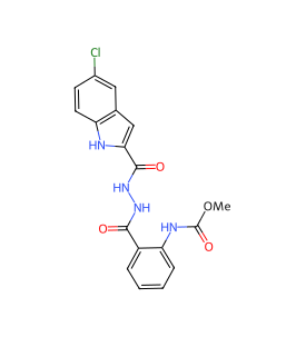 COC(=O)Nc1ccccc1C(=O)NNC(=O)c1cc2cc(Cl)ccc2[nH]1